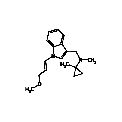 COC/C=C/n1cc(CN(C)C2(C)CC2)c2ccccc21